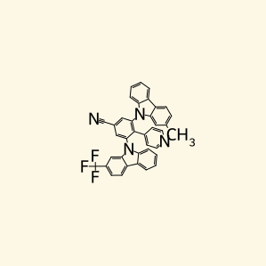 Cc1ccc2c3ccccc3n(-c3cc(C#N)cc(-n4c5ccccc5c5ccc(C(F)(F)F)cc54)c3-c3ccncc3)c2c1